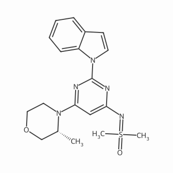 C[C@@H]1COCCN1c1cc(N=S(C)(C)=O)nc(-n2ccc3ccccc32)n1